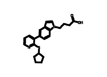 O=C(O)CCCn1ccc2cc(-c3cccnc3SC3CCCC3)ccc21